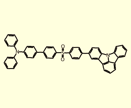 O=S(=O)(c1ccc(-c2ccc(N(c3ccccc3)c3ccccc3)cc2)cc1)c1ccc(-c2ccc3c(c2)c2cccc4c5ccccc5n3c42)cc1